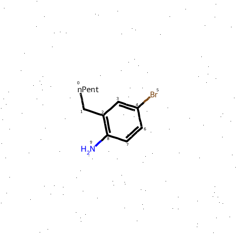 CCCCCCc1cc(Br)ccc1N